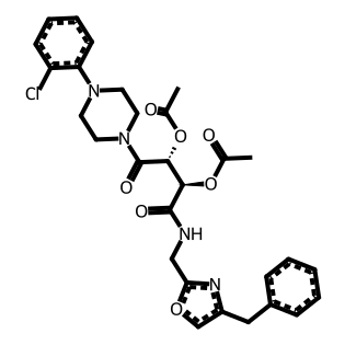 CC(=O)O[C@@H](C(=O)NCc1nc(Cc2ccccc2)co1)[C@@H](OC(C)=O)C(=O)N1CCN(c2ccccc2Cl)CC1